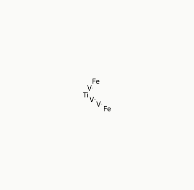 [Fe].[Fe].[Ti].[V].[V].[V]